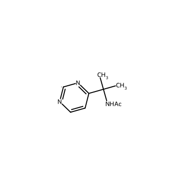 CC(=O)NC(C)(C)c1ccn[c]n1